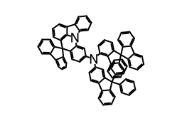 c1ccc(C2(c3ccccc3)c3ccccc3-c3ccc(N(c4ccc5c(c4)-n4c6ccccc6c6cccc(c64)C54c5ccccc5-c5ccccc54)c4cccc5c4-c4ccccc4C54c5ccccc5-c5ccccc54)cc32)cc1